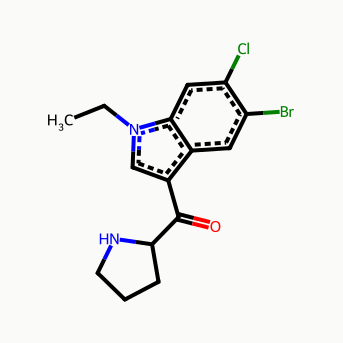 CCn1cc(C(=O)C2CCCN2)c2cc(Br)c(Cl)cc21